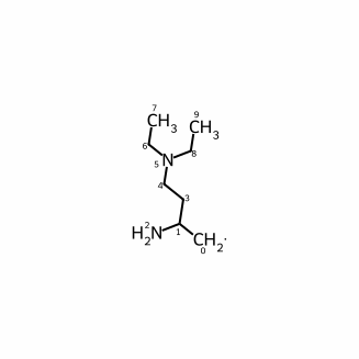 [CH2]C(N)CCN(CC)CC